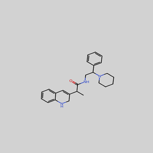 CC(C(=O)NCC(c1ccccc1)N1CCCCC1)C1=Cc2ccccc2NC1